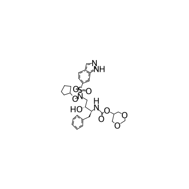 O=C(N[C@@H](Cc1ccccc1)[C@H](O)CN(OC1CCCC1)S(=O)(=O)c1ccc2cn[nH]c2c1)OC1COCOC1